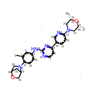 Cc1cc(Nc2nccc(-c3ccc(N4C[C@@H](C)O[C@@H](C)C4)nc3)n2)ccc1N1CC2CC1CO2